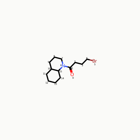 O=C(CCCBr)N1CCCC2CCCCC21